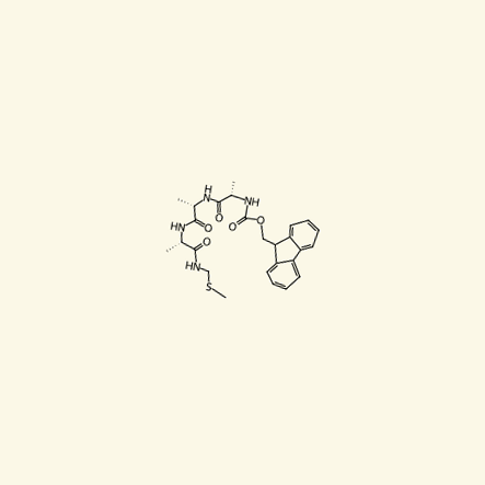 CSCNC(=O)[C@H](C)NC(=O)[C@H](C)NC(=O)[C@H](C)NC(=O)OCC1c2ccccc2-c2ccccc21